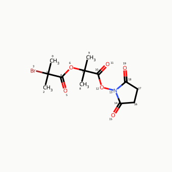 CC(C)(Br)C(=O)OC(C)(C)C(=O)ON1C(=O)CCC1=O